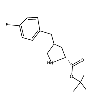 CC(C)(C)OC(=O)[C@H]1CC(Cc2ccc(F)cc2)CN1